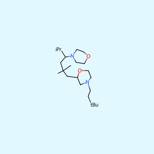 CC(C)C(CC(C)(C)CC1CN(CCC(C)(C)C)CCO1)N1CCOCC1